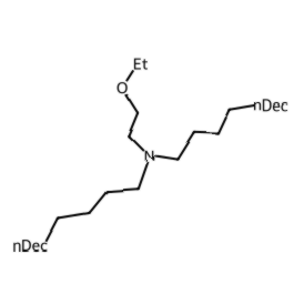 CCCCCCCCCCCCCCN(CCCCCCCCCCCCCC)CCOCC